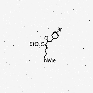 CCOC(=O)C(=CCCCNC)C(=O)Cc1ccc(Br)cc1